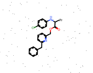 CC(C)C(Nc1ccc(Cl)cc1)C(=O)OCc1cccc(Cc2ccccc2)n1